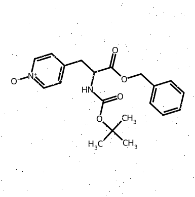 CC(C)(C)OC(=O)NC(Cc1cc[n+]([O-])cc1)C(=O)OCc1ccccc1